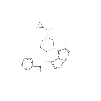 CN(C1CC1)[C@@H]1CCCN(c2c(Br)cnc3[nH]cc(NC(=O)c4cccnc4)c23)C1